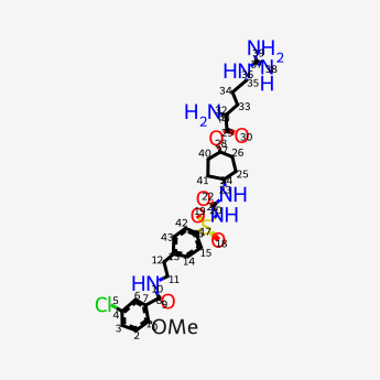 COc1ccc(Cl)cc1C(=O)NCCc1ccc(S(=O)(=O)NC(=O)NC2CCC(OC(=O)[C@@H](N)CCCNC(=N)N)CC2)cc1